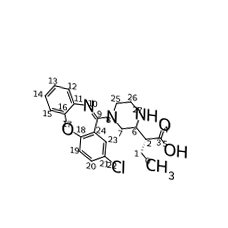 CC[C@@H](C(=O)O)C1CN(C2=Nc3ccccc3Oc3ccc(Cl)cc32)CCN1